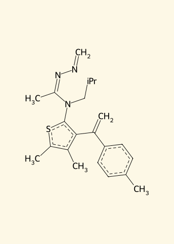 C=N/N=C(/C)N(CC(C)C)c1sc(C)c(C)c1C(=C)c1ccc(C)cc1